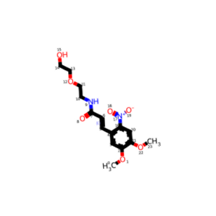 COc1cc(/C=C/C(=O)NCCOCCO)c([N+](=O)[O-])cc1OC